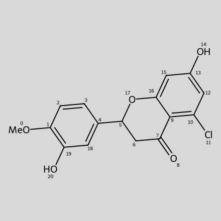 COc1ccc(C2CC(=O)c3c(Cl)cc(O)cc3O2)cc1O